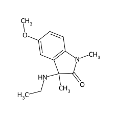 CCNC1(C)C(=O)N(C)c2ccc(OC)cc21